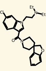 CCN(CC)CCn1cc(C(=O)N2CCC3(CC2)COc2ccccc23)c2ccc(Cl)cc21